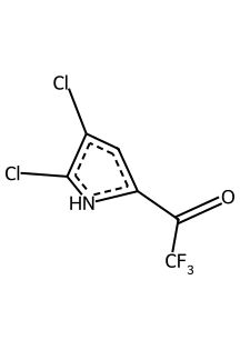 O=C(c1cc(Cl)c(Cl)[nH]1)C(F)(F)F